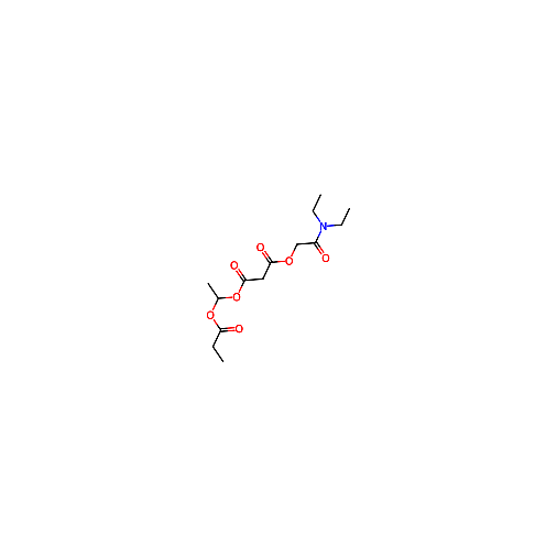 CCC(=O)OC(C)OC(=O)CC(=O)OCC(=O)N(CC)CC